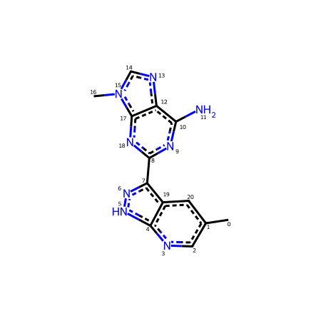 Cc1cnc2[nH]nc(-c3nc(N)c4ncn(C)c4n3)c2c1